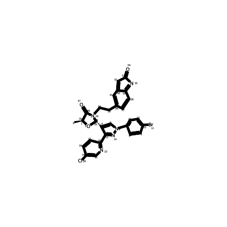 C[C@@H]1O[C@@H](c2cn(-c3ccc(Br)cc3)nc2-c2ccc(Cl)cn2)N(CCc2ccc3c(c2)=CC(=O)N=3)C1=O